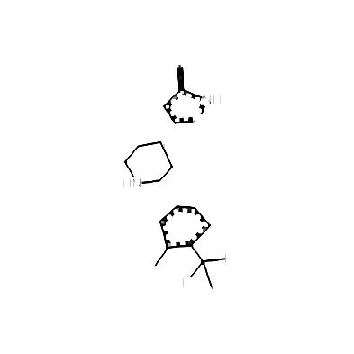 Cc1cc([C@H]2C[C@@H](c3cc(=O)[nH]o3)CCN2)ccc1C(F)(F)F